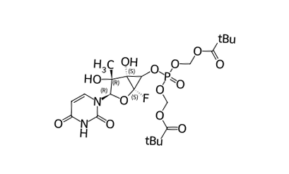 CC(C)(C)C(=O)OCOP(=O)(OCOC(=O)C(C)(C)C)OC1[C@]2(O)[C@@](C)(O)[C@H](n3ccc(=O)[nH]c3=O)O[C@]12F